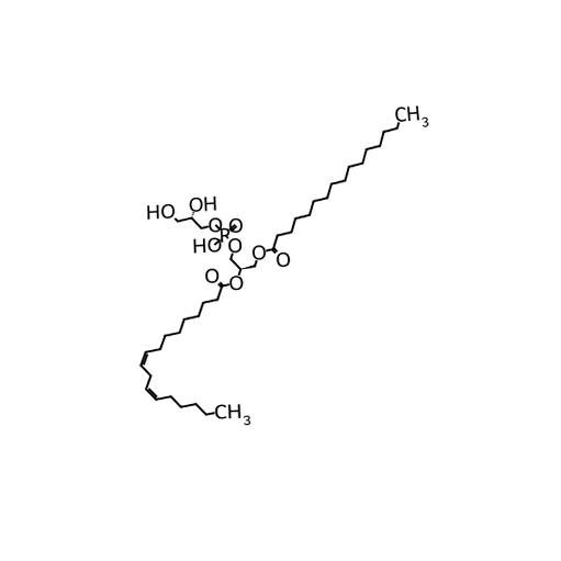 CCCCC/C=C\C/C=C\CCCCCCCC(=O)O[C@H](COC(=O)CCCCCCCCCCCCCCC)COP(=O)(O)OC[C@@H](O)CO